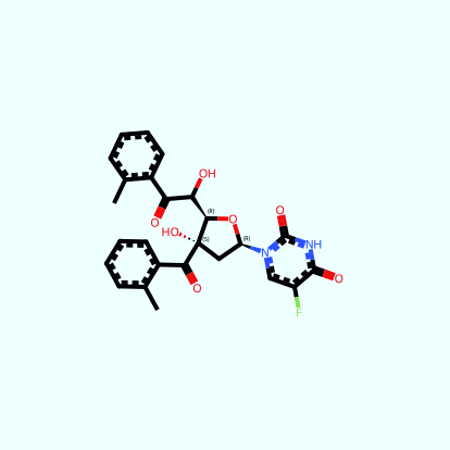 Cc1ccccc1C(=O)C(O)[C@H]1O[C@@H](n2cc(F)c(=O)[nH]c2=O)C[C@@]1(O)C(=O)c1ccccc1C